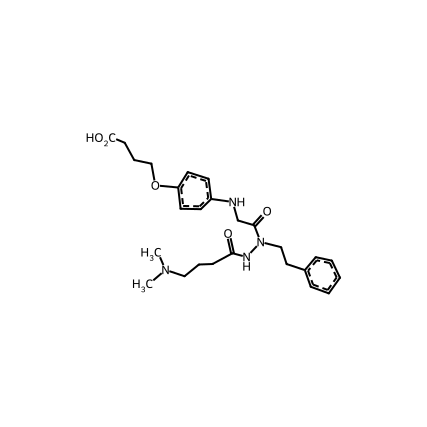 CN(C)CCCC(=O)NN(CCc1ccccc1)C(=O)CNc1ccc(OCCCC(=O)O)cc1